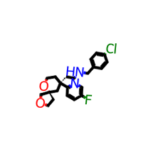 Fc1ccc([C@]2(CCNCc3ccc(Cl)cc3)CCO[C@]3(CCOC3)C2)nc1